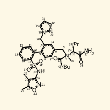 CCCCC(=O)[N+](C)(Cc1ccc(-c2ccccc2S(=O)(=O)Nc2noc(C)c2C)c(Cn2cccn2)c1)[C@H](C(N)=O)C(C)C